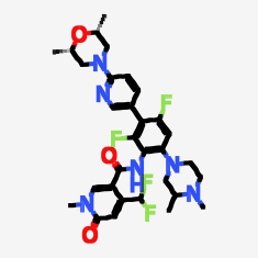 CC1CN(c2cc(F)c(-c3ccc(N4C[C@@H](C)O[C@@H](C)C4)nc3)c(F)c2NC(=O)c2cn(C)c(=O)cc2C(F)F)CCN1C